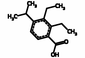 CCc1c(C(=O)O)ccc(C(C)C)c1CC